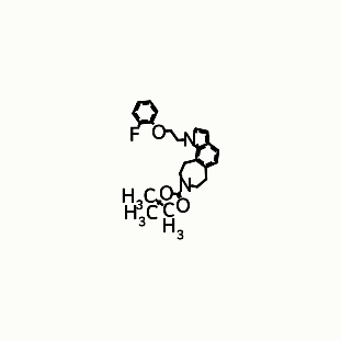 CC(C)(C)OC(=O)N1CCc2ccc3ccn(CCOc4ccccc4F)c3c2CC1